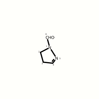 O=[C]N1CCC=N1